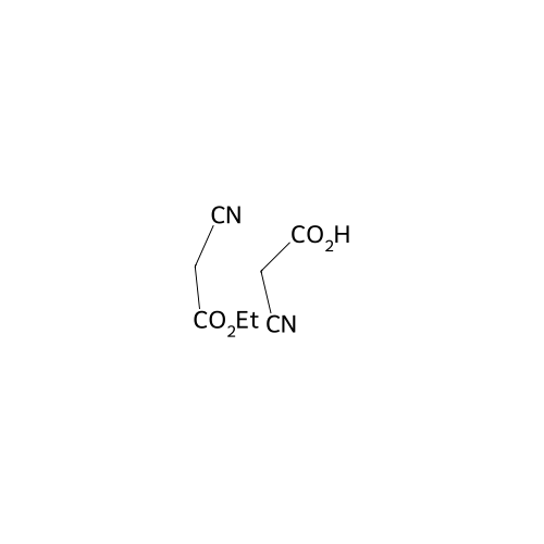 CCOC(=O)CC#N.N#CCC(=O)O